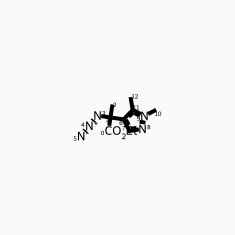 CCOC(=O)C(C)(N=[N+]=[N-])c1cnn(C)c1C